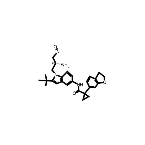 CC(C)(C)c1cc2cc(NC(=O)C3(c4ccc5c(c4)OCC5)CC3)ccc2n1C[C@@H](N)CN=O